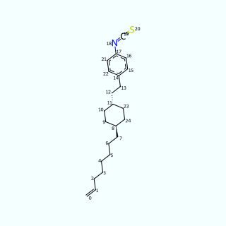 C=CCCCCCC[C@H]1CC[C@H](CCc2ccc(N=C=S)cc2)CC1